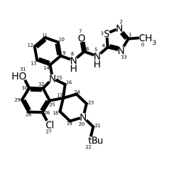 Cc1nsc(NC(=O)Nc2ccccc2N2CC3(CCN(CC(C)(C)C)CC3)c3c(Cl)ccc(O)c32)n1